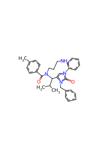 Cc1ccc(C(=O)N(CCCN)C(c2cn(-c3ccccc3)c(=O)n2Cc2ccccc2)C(C)C)cc1